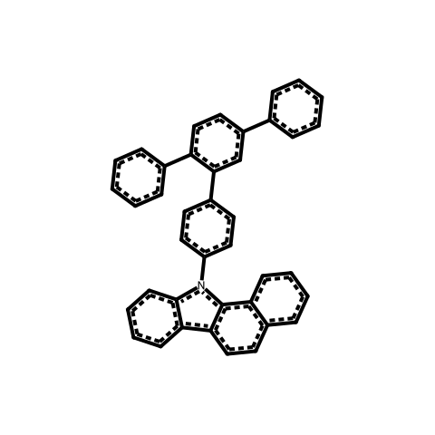 c1ccc(-c2ccc(-c3ccccc3)c(-c3ccc(-n4c5ccccc5c5ccc6ccccc6c54)cc3)c2)cc1